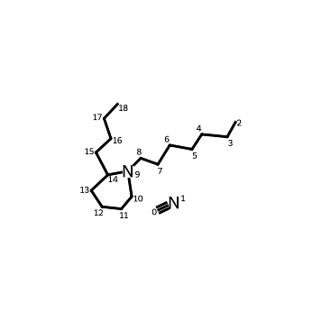 C#N.CCCCCCCN1CCCCC1CCCC